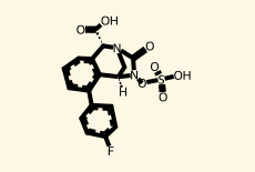 O=C(O)[C@H]1c2cccc(-c3ccc(F)cc3)c2[C@H]2CN1C(=O)N2OS(=O)(=O)O